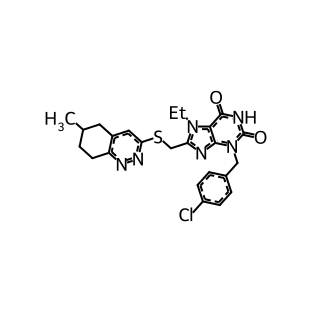 CCn1c(CSc2cc3c(nn2)CCC(C)C3)nc2c1c(=O)[nH]c(=O)n2Cc1ccc(Cl)cc1